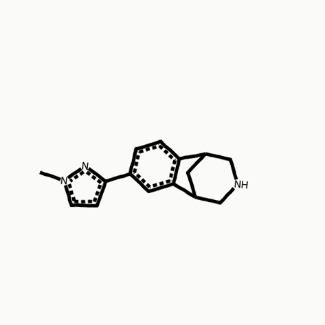 Cn1ccc(-c2ccc3c(c2)C2CNCC3C2)n1